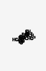 C#CC1COC(=O)N1c1noc2c(F)c(N3C[C@@H](C)O[C@H](C)C3)c(C=O)cc12